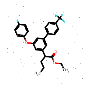 CCCC(C(=O)OCC)c1cc(Oc2ccc(F)cc2)cc(-c2ccc(C(F)(F)F)cc2)c1